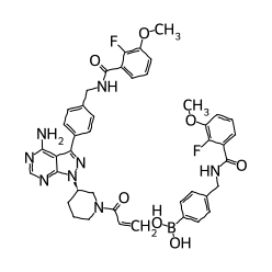 C=CC(=O)N1CCC[C@@H](n2nc(-c3ccc(CNC(=O)c4cccc(OC)c4F)cc3)c3c(N)ncnc32)C1.COc1cccc(C(=O)NCc2ccc(B(O)O)cc2)c1F